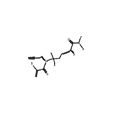 C#CCN(C(=O)C(=C)F)C(C)(C)C/C=C(\F)C(=O)N(F)F